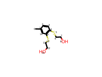 Cc1ccc(SCCO)c(SCCO)c1